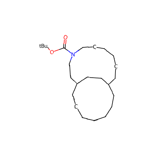 CC(C)(C)OC(=O)N1CCCCCCC2CCCCCCCC(CC2)CC1